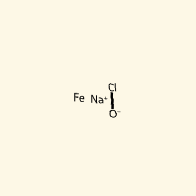 [Fe].[Na+].[O-]Cl